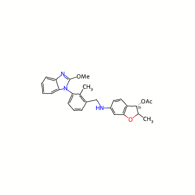 COc1nc2ccccc2n1-c1cccc(CNc2ccc3c(c2)OC(C)[C@H]3OC(C)=O)c1C